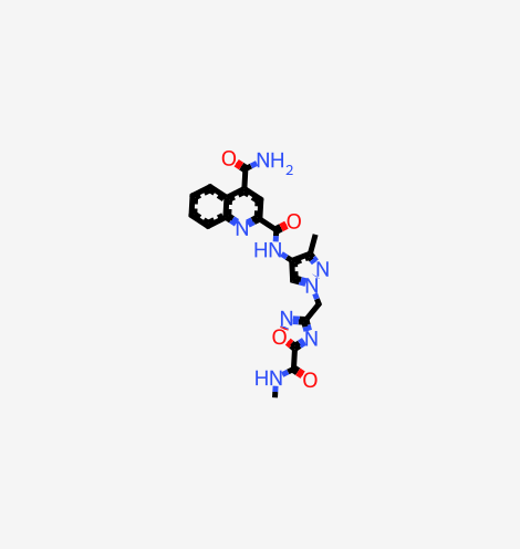 CNC(=O)c1nc(Cn2cc(NC(=O)c3cc(C(N)=O)c4ccccc4n3)c(C)n2)no1